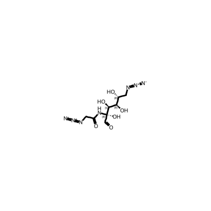 [N-]=[N+]=NCC(=O)N[C@](O)(C=O)[C@@H](O)[C@H](O)[C@H](O)CN=[N+]=[N-]